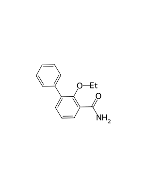 CCOc1c(C(N)=O)cccc1-c1ccccc1